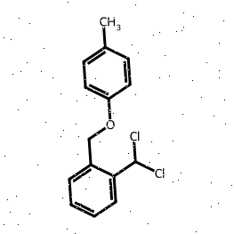 Cc1ccc(OCc2ccccc2C(Cl)Cl)cc1